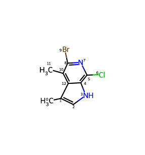 Cc1c[nH]c2c(Cl)nc(Br)c(C)c12